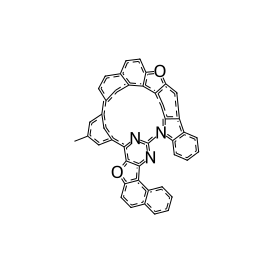 Cc1cc2cc(c1)c1nc(nc3c1oc1ccc4ccccc4c13)n1c3ccccc3c3cc4oc5ccc6ccc2cc6c5c4cc31